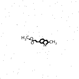 CCOC(=O)/C=C/c1ccc2cc(C)cnc2c1